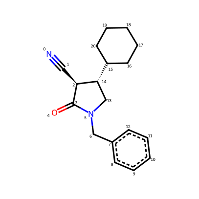 N#C[C@@H]1C(=O)N(Cc2ccccc2)C[C@H]1C1CCCCC1